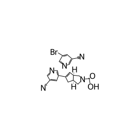 N#Cc1cncc(Br)c1.N#Cc1cncc(C2=C[C@H]3CN(C(=O)O)C[C@H]3C2)c1